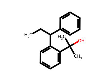 [CH2]CC(c1ccccc1)c1ccccc1C(C)(C)O